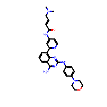 CN(C)CC=CC(=O)Nc1ccnc(-c2cccc3c(N)nc(Nc4ccc(N5CCOCC5)cc4)nc23)c1